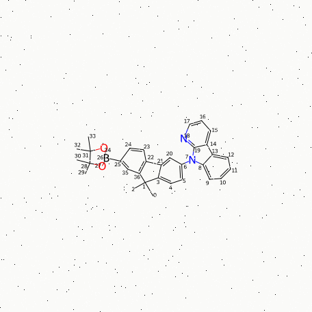 CC1(C)c2ccc(-n3c4ccccc4c4cccnc43)cc2-c2ccc(B3OC(C)(C)C(C)(C)O3)cc21